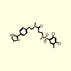 Cc1cc(S(=O)(=O)N(C)CCC(=O)N(C)CCc2ccc(C3=NCCN3)cc2)c(Cl)cc1Cl